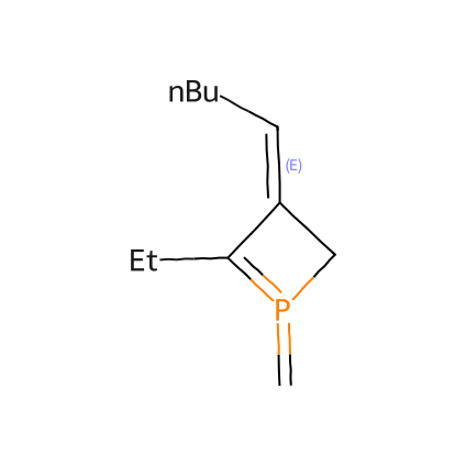 C=P1=C(CC)/C(=C\CCCC)C1